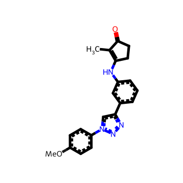 COc1ccc(-n2cc(-c3cccc(NC4=C(C)C(=O)CC4)c3)nn2)cc1